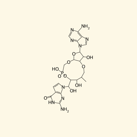 CC1COC2C(OCP(=O)(O)OC(C(O)n3ccc4c(=O)[nH]c(N)nc43)C1O)OC(n1cnc3c(N)ncnc31)C2O